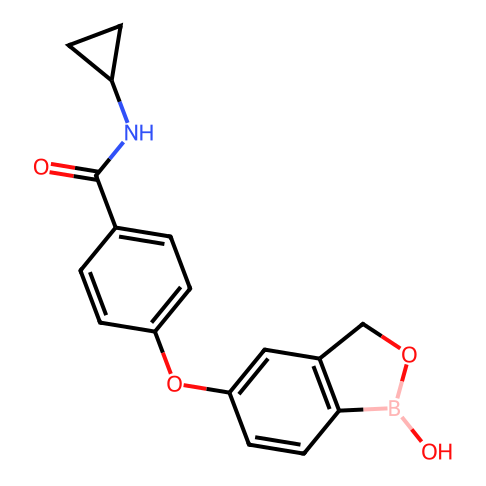 O=C(NC1CC1)c1ccc(Oc2ccc3c(c2)COB3O)cc1